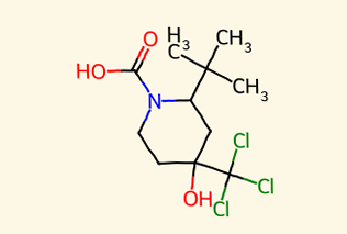 CC(C)(C)C1CC(O)(C(Cl)(Cl)Cl)CCN1C(=O)O